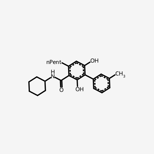 CCCCCc1cc(O)c(-c2cccc(C)c2)c(O)c1C(=O)NC1CCCCC1